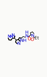 CCC(=O)N1CCCC1C(=O)NCCc1cc2c(-c3cnn4ncccc34)ccnc2[nH]1